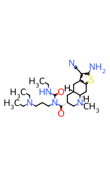 CCNC(=O)N(CCCN(CC)CC)C(=O)[C@@H]1C[C@@H]2Cc3c(sc(N)c3C#N)C[C@H]2N(C)C1